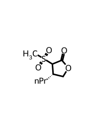 CCC[C@H]1COC(=O)C1S(C)(=O)=O